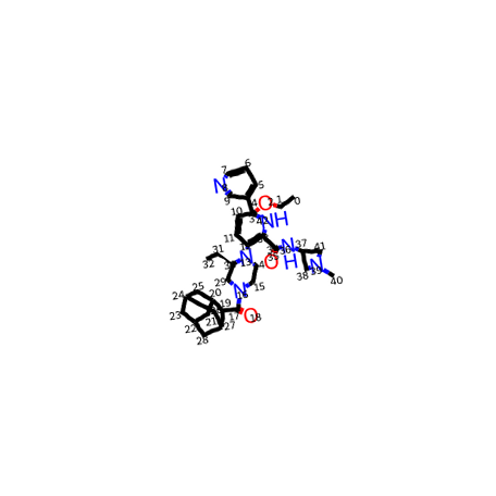 CCOC1(c2cccnc2)C=CC(N2CCN(C(=O)C3C4CC5CC(C4)CC3C5)C[C@H]2CC)=C(C(=O)NC2CN(C)C2)N1